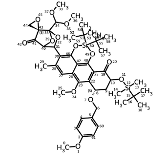 COc1ccc(CO[C@H]2CC(O[Si](C)(C)C(C)(C)C)C(=O)c3c2c(OC)c2cc(C)c(C4OC5(C(OC)OC)OC4C(=O)[C@@]54CO4)c4c2c3O[Si](C(C)(C)C)(C(C)(C)C)O4)cc1